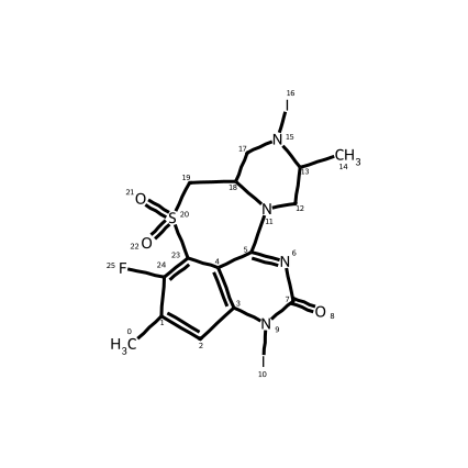 Cc1cc2c3c(nc(=O)n2I)N2CC(C)N(I)CC2CS(=O)(=O)c3c1F